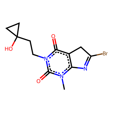 Cn1c2c(c(=O)n(CCC3(O)CC3)c1=O)CC(Br)=N2